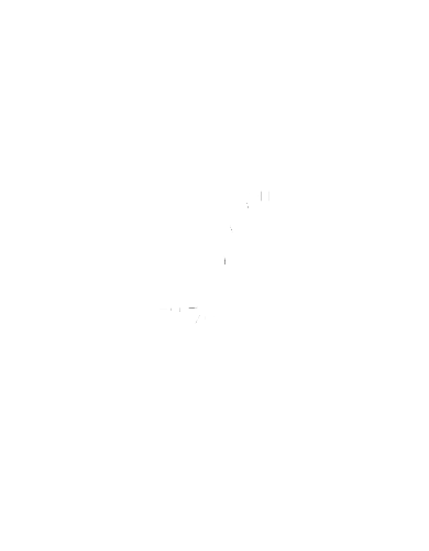 CCCCCCCCOC1=C(C)C(C)C(O)C=C1CCC(C)CCC/C(C)=C/CC/C(C)=C/CCC(C)C(=O)O